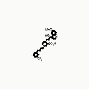 COc1ccc2nccc(C(O)CC[C@@H]3CCN(CCCCc4cccc(C(F)(F)F)c4)C[C@@H]3C(=O)O)c2c1